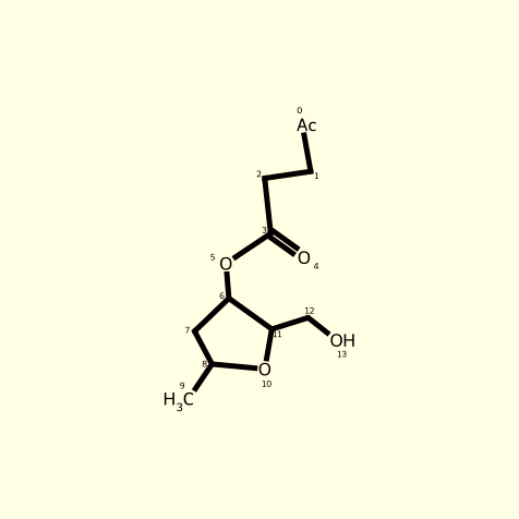 CC(=O)CCC(=O)OC1CC(C)OC1CO